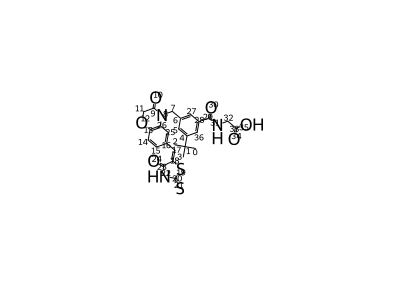 CC(C)(C)c1cc(CN2C(=O)COc3ccc(C=C4SC(=S)NC4=O)cc32)cc(C(=O)NCC(=O)O)c1